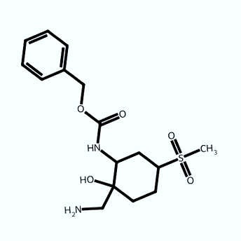 CS(=O)(=O)C1CCC(O)(CN)C(NC(=O)OCc2ccccc2)C1